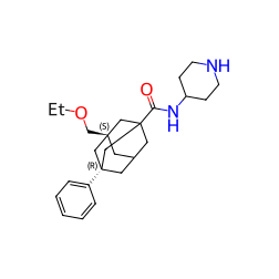 CCOC[C@]12CC3CC(C(=O)NC4CCNCC4)(C1)C[C@@](c1ccccc1)(C3)C2